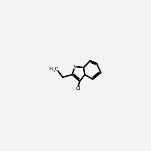 CCC1=C(Cl)C2C=CC=CC2S1